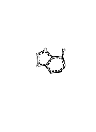 CCc1cccc2nnoc12